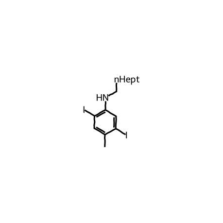 CCCCCCCCNc1cc(I)c(C)cc1I